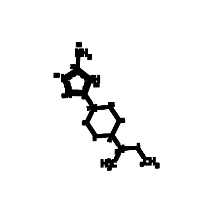 CCN(C)C1CCN(c2nnc(N)[nH]2)CC1